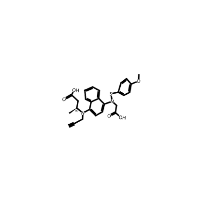 C#CCN(c1ccc(N(CC(=O)O)Sc2ccc(OC)cc2)c2ccccc12)[C@@H](C)CC(=O)O